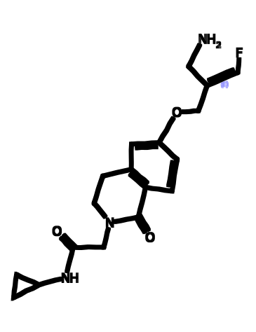 NC/C(=C\F)COc1ccc2c(c1)CCN(CC(=O)NC1CC1)C2=O